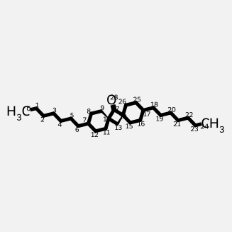 CCCCCCCC1CC[C@]2(CC1)C[C@@]1(CCC(CCCCCCC)CC1)C2=O